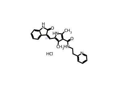 Cc1[nH]c(/C=C2\C(=O)Nc3ccccc32)c(C)c1C(=O)NCCc1ccccn1.Cl